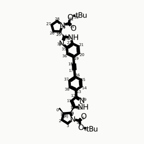 C[C@@H]1CCN(C(=O)OC(C)(C)C)[C@@H]1c1cc(-c2ccc(C#Cc3ccc4[nH]c([C@@H]5CCCN5C(=O)OC(C)(C)C)nc4c3)cc2)n[nH]1